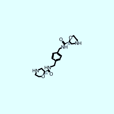 O=C(NCc1ccc(CNC(=O)[C@@H]2CNCCO2)cc1)[C@@H]1CNCCO1